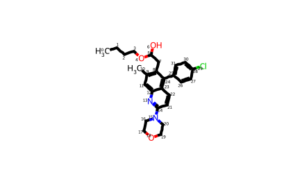 CCCCOC(O)Cc1c(C)cc2nc(N3CCOCC3)ccc2c1-c1ccc(Cl)cc1